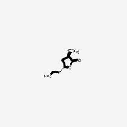 CC1C[C@@H](CCO)OC1=O